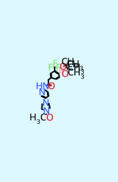 CC(=O)N1CCN(c2ccc(NC(=O)Cc3ccc(B4OC(C)(C)C(C)(C)O4)c(C(F)(F)F)c3)nc2)CC1